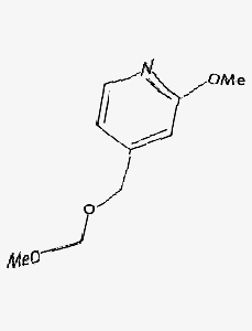 COCOCc1ccnc(OC)c1